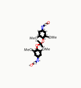 COc1cc(N=C=O)cc(OC)c1OC(C)(C)Oc1c(OC)cc(N=C=O)cc1OC